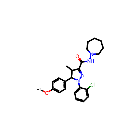 CCOc1ccc(C2C(C)C(C(=O)NN3CCCCCC3)=NN2c2ccccc2Cl)cc1